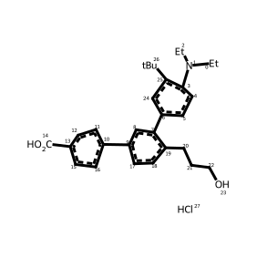 CCN(CC)c1ccc(-c2cc(-c3ccc(C(=O)O)cc3)ccc2CCCO)cc1C(C)(C)C.Cl